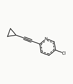 Clc1ccc(C#CC2CC2)nc1